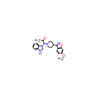 COc1ccc2c(C3CCN(C(C(C)=O)N4CNc5ccccc54)CC3)noc2c1